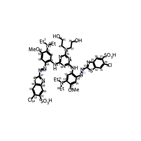 CCN(CC)c1cc(Nc2nc(Nc3cc(N(CC)CC)c(OC)cc3/N=N/c3nc4cc(S(=O)(=O)O)c(Cl)cc4s3)nc(N(CCO)CCO)n2)c(/N=N/c2nc3cc(S(=O)(=O)O)c(Cl)cc3s2)cc1OC